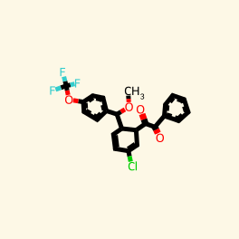 COC(c1ccc(OC(F)(F)F)cc1)C1C=CC(Cl)=CC1C(=O)C(=O)c1ccccc1